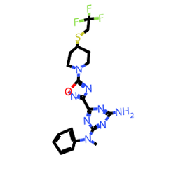 CN(c1ccccc1)c1nc(N)nc(-c2noc(N3CCC(SCC(F)(F)F)CC3)n2)n1